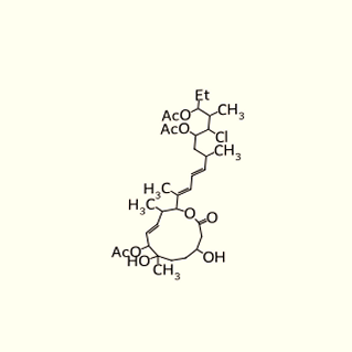 CCC(OC(C)=O)C(C)C(Cl)C(CC(C)/C=C/C=C(\C)C1OC(=O)CC(O)CCC(C)(O)C(OC(C)=O)/C=C/C1C)OC(C)=O